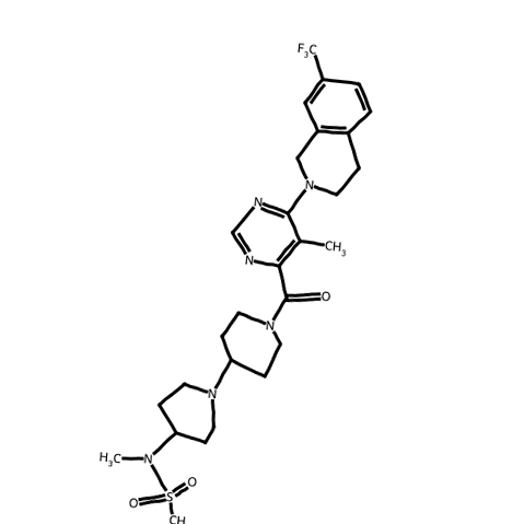 Cc1c(C(=O)N2CCC(N3CCC(N(C)S(C)(=O)=O)CC3)CC2)ncnc1N1CCc2ccc(C(F)(F)F)cc2C1